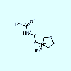 CC(C)C(=O)NCC[N+]1(C(C)C)CCCC1